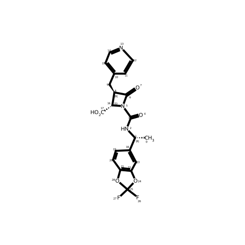 C[C@@H](NC(=O)N1C(=O)[C@H](Cc2ccncc2)[C@H]1C(=O)O)c1ccc2c(c1)OC(F)(F)O2